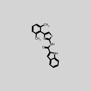 Cc1cccc(C)c1-c1csc(NC(=O)c2cc3ccccc3[nH]2)n1